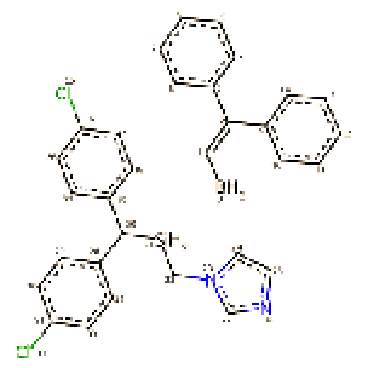 BC=C(c1ccccc1)c1ccccc1.Clc1ccc(C([SiH2]Cn2ccnc2)c2ccc(Cl)cc2)cc1